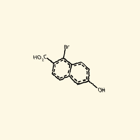 O=C(O)c1ccc2cc(O)ccc2c1Br